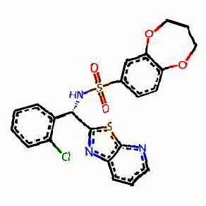 O=S(=O)(N[C@H](c1nc2cccnc2s1)c1ccccc1Cl)c1ccc2c(c1)OCCCO2